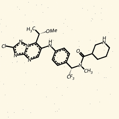 CO[C@@H](C)c1c(Nc2ccc([C@H](N(C)C(=O)C3CCCNC3)C(F)(F)F)cc2)cnc2nc(Cl)nn12